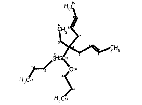 CC=CCC(CC)(CC=CC)[SiH](OCCC)OCCC